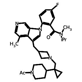 CC(=O)N1CCC(C2(CN3CC(Cc4cn(-c5ccc(F)cc5C(=O)N(C)C(C)C)c5cncc(C)c45)C3)CC2)CC1